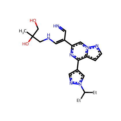 CCC(CC)n1cc(-c2nc(/C(C=N)=C/NCC(C)(O)CO)cn3nccc23)cn1